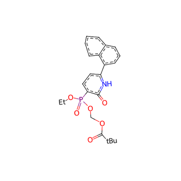 CCOP(=O)(OCOC(=O)C(C)(C)C)c1ccc(-c2cccc3ccccc23)[nH]c1=O